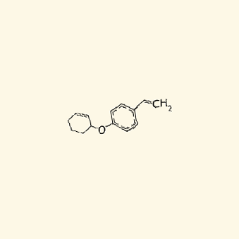 C=Cc1ccc(OC2C=CCCC2)cc1